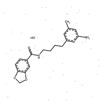 Cc1cc(N)nc(CCCCNC(=O)c2ccc3c(c2)OCO3)c1.Cl